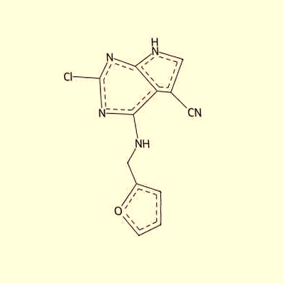 N#Cc1c[nH]c2nc(Cl)nc(NCc3ccco3)c12